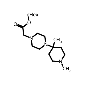 CCCCCCOC(=O)CN1CCN(C2(C)CCN(C)CC2)CC1